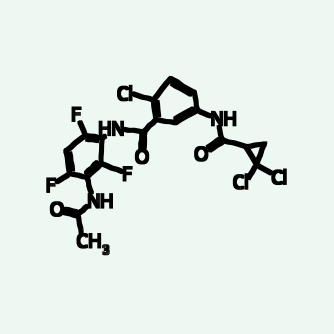 CC(=O)Nc1c(F)cc(F)c(NC(=O)c2cc(NC(=O)C3CC3(Cl)Cl)ccc2Cl)c1F